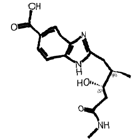 CNC(=O)C[C@H](O)[C@H](C)Cc1nc2cc(C(=O)O)ccc2[nH]1